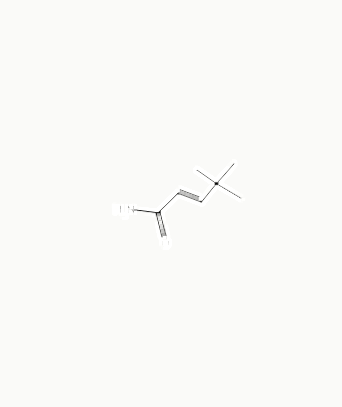 CC(C)(C)C=CC(N)=O